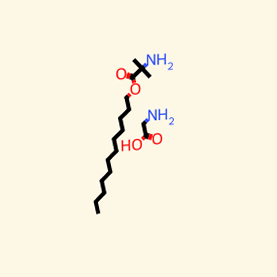 CCCCCCCCCCCCOC(=O)C(C)(C)N.NCC(=O)O